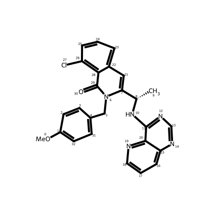 COc1ccc(Cn2c([C@H](C)Nc3ncnc4cccnc34)cc3cccc(Cl)c3c2=O)cc1